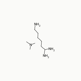 CN(C)C.NCCCCCC(N)N